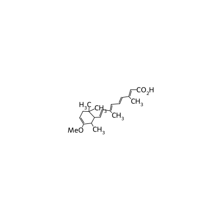 COC1=CCC(C)(C)C(/C=C/C(C)=C/C=C/C(C)=C/C(=O)O)C1C